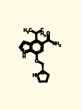 CC(C)c1c(C(N)=O)cc(OC[C@H]2CCCN2)c2[nH]ccc12